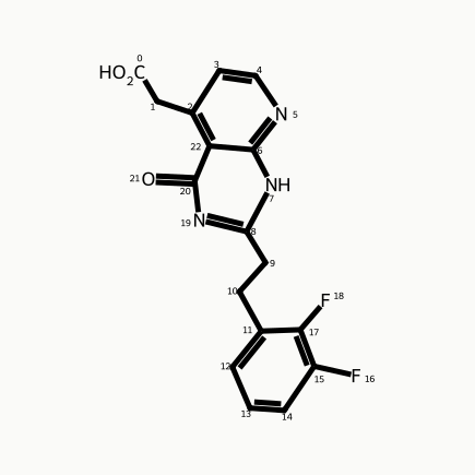 O=C(O)Cc1ccnc2[nH]c(CCc3cccc(F)c3F)nc(=O)c12